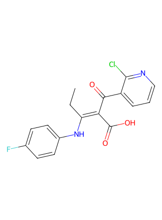 CCC(Nc1ccc(F)cc1)=C(C(=O)O)C(=O)c1cccnc1Cl